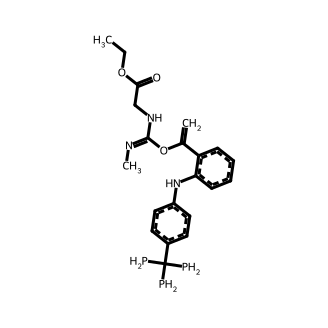 C=C(O/C(=N\C)NCC(=O)OCC)c1ccccc1Nc1ccc(C(P)(P)P)cc1